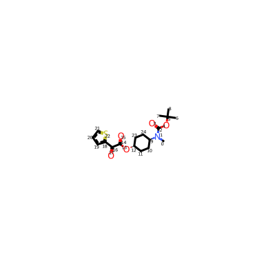 CN(C(=O)OC(C)(C)C)[C@H]1CC[C@H](OC(=O)C(=O)c2cccs2)CC1